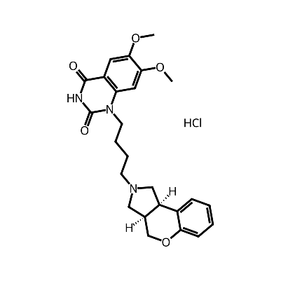 COc1cc2c(=O)[nH]c(=O)n(CCCCN3C[C@@H]4COc5ccccc5[C@@H]4C3)c2cc1OC.Cl